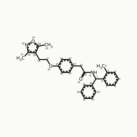 Cc1ccccc1C(NC(=O)Cc1ccc(OCCc2c(C)noc2C)cc1)c1ccccc1